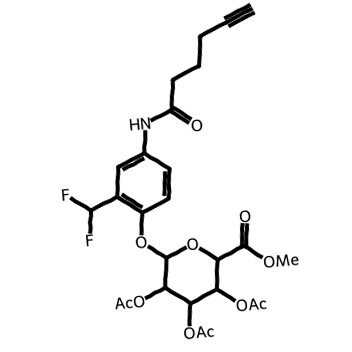 C#CCCCC(=O)Nc1ccc(OC2OC(C(=O)OC)C(OC(C)=O)C(OC(C)=O)C2OC(C)=O)c(C(F)F)c1